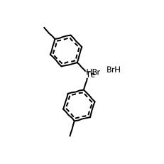 Br.Br.Cc1ccc([Te]c2ccc(C)cc2)cc1